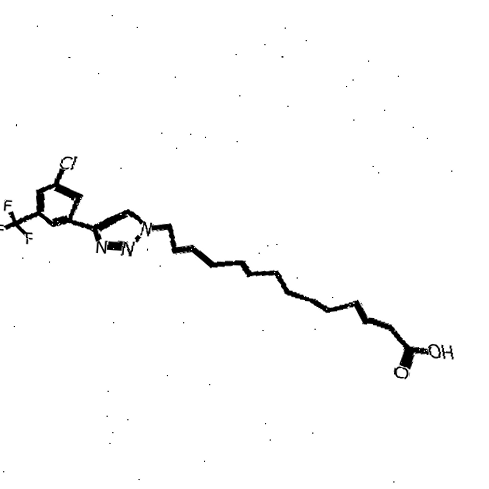 O=C(O)CCCCCCCCCCCCCn1cc(-c2cc(Cl)cc(C(F)(F)F)c2)nn1